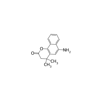 CC1(C)CC(=O)Oc2c1cc(N)c1ccccc21